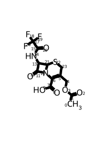 CC(=O)OCC1=C(C(=O)O)N2C(=O)C(NC(=O)C(F)(F)F)C2SC1